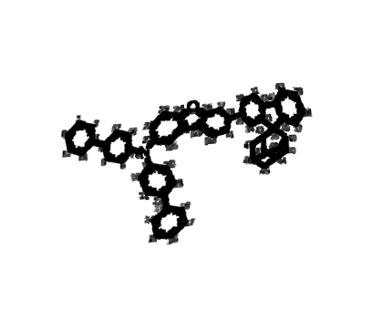 c1ccc(-c2ccc(N(c3ccc(-c4ccccc4)cc3)c3ccc4oc5cc(-c6ccc7c(c6)C6(c8ccccc8-7)C7CC8CC(C7)CC6C8)ccc5c4c3)cc2)cc1